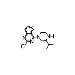 CC(C)C1CN(c2nc(Cl)nc3ccsc23)CCN1